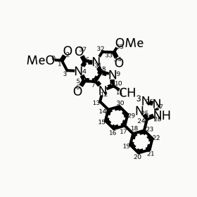 COC(=O)Cn1c(=O)c2c(nc(C)n2Cc2ccc(-c3ccccc3-c3nnn[nH]3)cc2)n(CC(=O)OC)c1=O